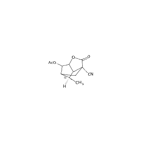 CC(=O)OC1C2OC(=O)C3(C#N)CC1[C@H](C)C23